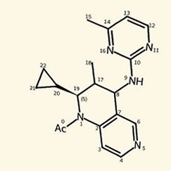 CC(=O)N1c2ccncc2C(Nc2nccc(C)n2)C(C)[C@@H]1C1CC1